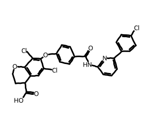 O=C(Nc1cccc(-c2ccc(Cl)cc2)n1)c1ccc(Oc2c(Cl)cc3c(c2Cl)OCCC3C(=O)O)cc1